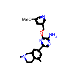 COc1cncc(COc2nc(-c3cc(C)c4c(c3)CN(C)CC4)cnc2N)c1